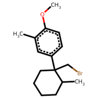 COc1ccc(C2(CBr)CCCCC2C)cc1C